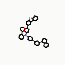 c1ccc(-c2ccccc2N(c2ccc(-c3cccc(-c4cccc5ccccc45)c3)cc2)c2ccc(-c3ccc4oc5ccccc5c4c3)cc2)cc1